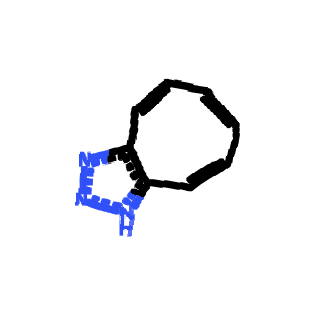 C1=CC=Cc2[nH]nnc2C=C1